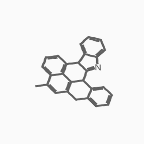 Cc1cc2c3c4c(cccc14)C1C(=Nc4ccccc41)C3c1ccccc1C2